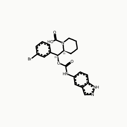 O=C(Nc1ccc2[nH]ncc2c1)O[C@@H](c1cccc(Br)c1)[C@@H]1CCCCN1C(=O)O